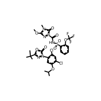 CC(C)Oc1cc(-n2nc(C(C)(C)C)oc2=O)c(Cl)cc1Cl.COc1nn(C(=O)NS(=O)(=O)c2ccccc2OC(F)(F)F)c(=O)n1C